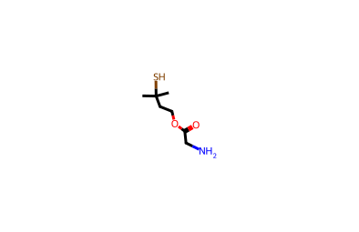 CC(C)(S)CCOC(=O)CN